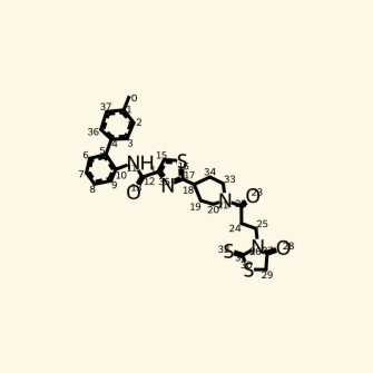 Cc1ccc(-c2ccccc2NC(=O)c2csc(C3CCN(C(=O)CCN4C(=O)CSC4=S)CC3)n2)cc1